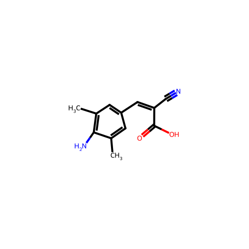 Cc1cc(C=C(C#N)C(=O)O)cc(C)c1N